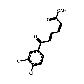 COC(=O)/C=C\C=C\C(=O)c1ccc(Cl)c(Cl)c1